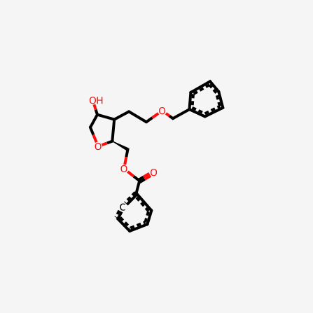 O=C(OC[C@H]1OCC(O)C1CCOCc1ccccc1)c1ccccc1